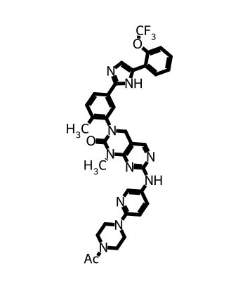 CC(=O)N1CCN(c2ccc(Nc3ncc4c(n3)N(C)C(=O)N(c3cc(-c5ncc(-c6ccccc6OC(F)(F)F)[nH]5)ccc3C)C4)cn2)CC1